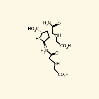 NC(=O)CNCC(=O)O.NC(=O)CNCC(=O)O.O=C1CC[C@@H](C(=O)O)N1